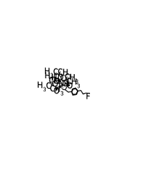 CC(C)(C)OC(=O)N[C@H](CC(Cc1ccc(CCCF)cc1)C(=O)OC(C)(C)C)C(=O)OC(C)(C)C